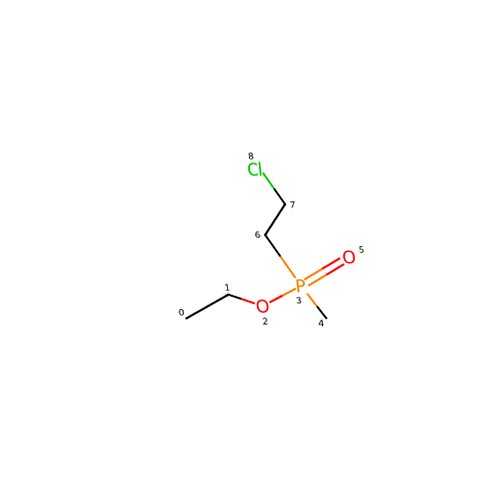 CCOP(C)(=O)CCCl